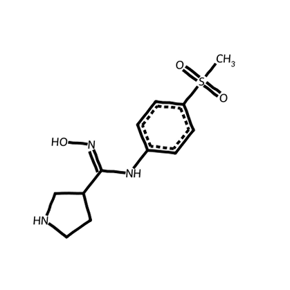 CS(=O)(=O)c1ccc(NC(=NO)C2CCNC2)cc1